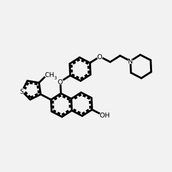 Cc1cscc1-c1ccc2cc(O)ccc2c1Oc1ccc(OCCN2CCCCC2)cc1